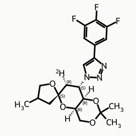 [2H][C@@H]1[C@H](n2cc(-c3cc(F)c(F)c(F)c3)nn2)[C@H]2OC(C)(C)OC[C@H]2O[C@@]12CC(C)CO2